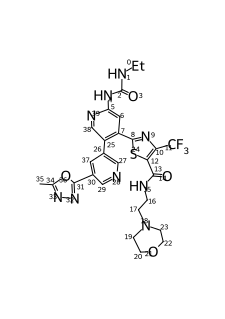 CCNC(=O)Nc1cc(-c2nc(C(F)(F)F)c(C(=O)NCCN3CCOCC3)s2)c(-c2cncc(-c3nnc(C)o3)c2)cn1